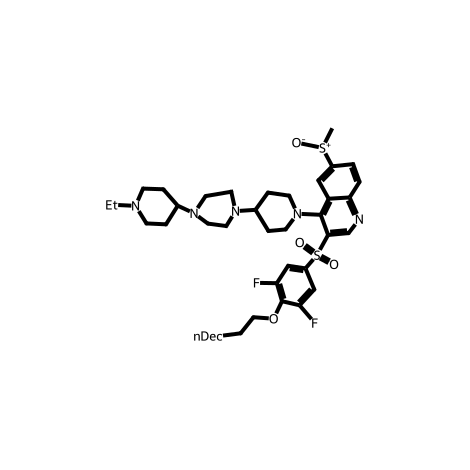 CCCCCCCCCCCCOc1c(F)cc(S(=O)(=O)c2cnc3ccc([S+](C)[O-])cc3c2N2CCC(N3CCN(C4CCN(CC)CC4)CC3)CC2)cc1F